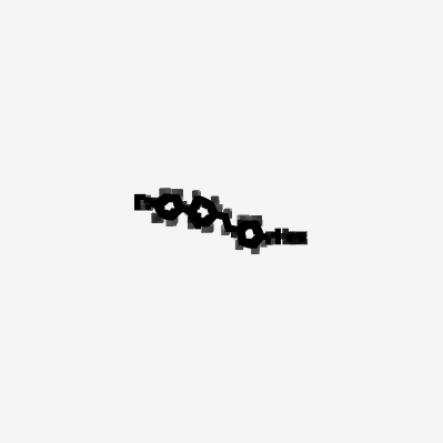 CCCCCCc1ccc(CCc2ccc(-c3ccc(CC)cc3)nc2)cc1